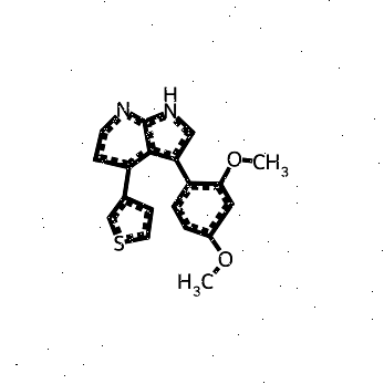 COc1ccc(-c2c[nH]c3nccc(-c4ccsc4)c23)c(OC)c1